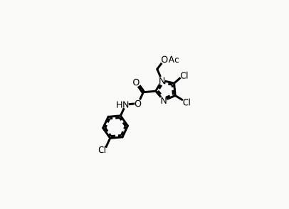 CC(=O)OCn1c(C(=O)ONc2ccc(Cl)cc2)nc(Cl)c1Cl